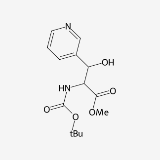 COC(=O)C(NC(=O)OC(C)(C)C)C(O)c1cccnc1